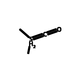 C[SH2](C)=C=O